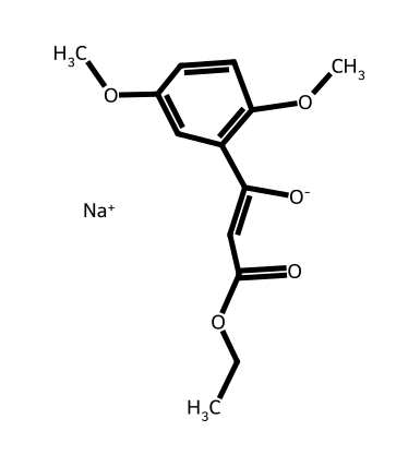 CCOC(=O)C=C([O-])c1cc(OC)ccc1OC.[Na+]